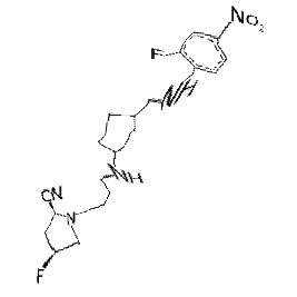 N#C[C@@H]1C[C@H](F)CN1CCNC1CCC(CNc2ccc([N+](=O)[O-])cc2F)C1